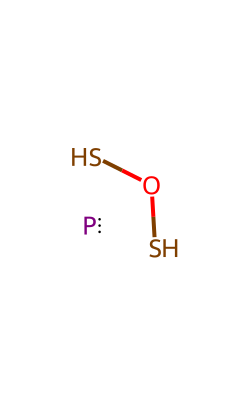 SOS.[P]